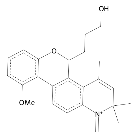 C=[N+]1c2ccc3c(c2C(C)=CC1(C)C)C(CCCO)Oc1cccc(OC)c1-3